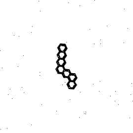 c1ccc2cc3cc4c(ccc5cc6c(ccc7ccccc76)cc54)cc3cc2c1